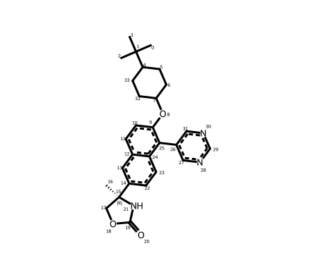 CC(C)(C)C1CCC(Oc2ccc3cc([C@]4(C)COC(=O)N4)ccc3c2-c2cncnc2)CC1